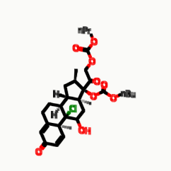 CCCCOC(=O)O[C@]1(C(=O)COC(=O)OCCC)[C@H](C)C[C@H]2[C@@H]3CCC4=CC(=O)C=C[C@]4(C)[C@@]3(Cl)C(O)C[C@@]21C